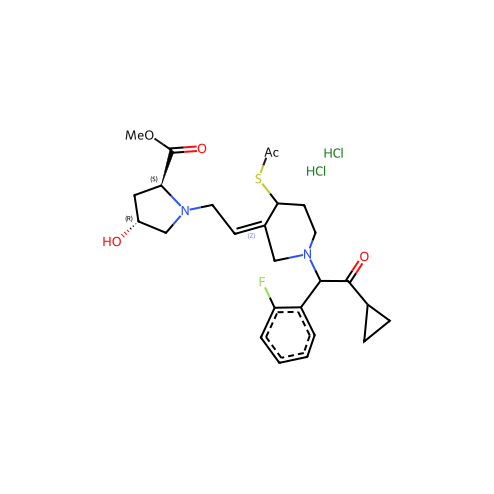 COC(=O)[C@@H]1C[C@@H](O)CN1C/C=C1/CN(C(C(=O)C2CC2)c2ccccc2F)CCC1SC(C)=O.Cl.Cl